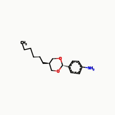 CCCCCC[C@H]1CO[C@H](c2ccc(N)cc2)OC1